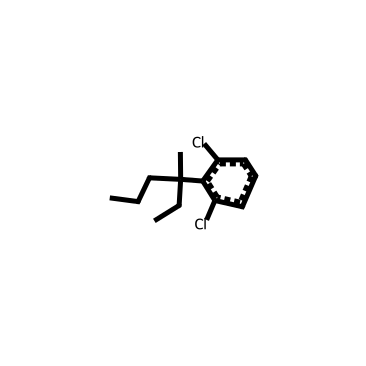 CCCC(C)(CC)c1c(Cl)cccc1Cl